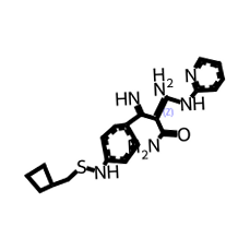 N=C(/C(C(N)=O)=C(\N)Nc1ccccn1)c1ccc(NSCC2CCC2)cc1